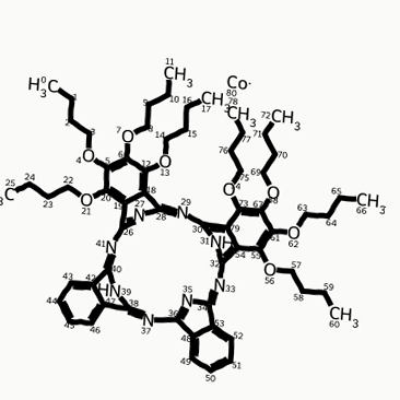 CCCCOc1c(OCCCC)c(OCCCC)c2c(c1OCCCC)-c1nc-2nc2[nH]c(nc3nc(nc4[nH]c(n1)c1ccccc41)-c1ccccc1-3)c1c(OCCCC)c(OCCCC)c(OCCCC)c(OCCCC)c21.[Co]